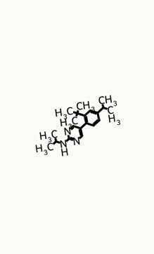 CC(C)Nc1ncc(-c2ccc(C(C)C)cc2C(C)(C)C)cn1